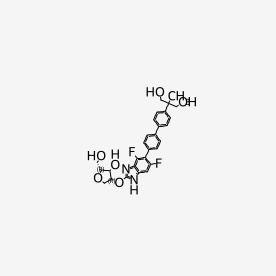 CC(CO)(CO)c1ccc(-c2ccc(-c3c(F)cc4[nH]c(O[C@@H]5CO[C@H](CO)C5O)nc4c3F)cc2)cc1